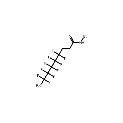 [CH2]CNC(=S)CCC(F)(F)C(F)(F)C(F)(F)C(F)(F)C(F)(F)C(F)(F)F